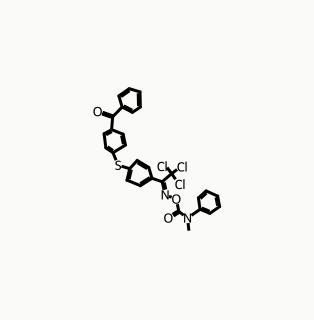 CN(C(=O)O/N=C(/c1ccc(Sc2ccc(C(=O)c3ccccc3)cc2)cc1)C(Cl)(Cl)Cl)c1ccccc1